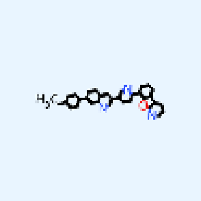 CCc1ccc(-c2ccc3cc(-c4ccc(-c5cccc6c5oc5ncccc56)nc4)cnc3c2)cc1